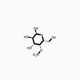 O=[N+]([O-])O[C@@H]1[C@H](O)[C@@H](O)[C@@H](O)O[C@@H]1CO